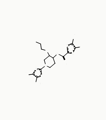 CCOC(=O)c1sc(N2CCC(NC(=O)c3nc(Cl)c(CC)[nH]3)C(OCCF)C2)nc1C